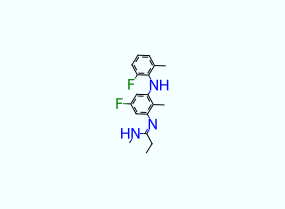 CCC(=Nc1cc(F)cc(Nc2c(C)cccc2F)c1C)NC